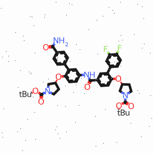 CC(C)(C)OC(=O)N1CC[C@H](Oc2ccc(NC(=O)c3ccc(O[C@H]4CCN(C(=O)OC(C)(C)C)C4)c(-c4ccc(F)c(F)c4)c3)cc2-c2ccc(C(N)=O)cc2)C1